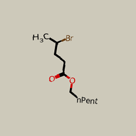 CCCCCCOC(=O)CCC(C)Br